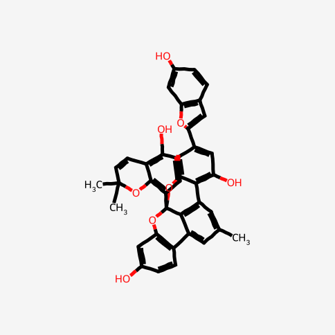 Cc1cc2c3c(c1)-c1c(O)cc(-c4cc5ccc(O)cc5o4)cc1OC3(c1ccc(O)c3c1OC(C)(C)C=C3)Oc1cc(O)ccc1-2